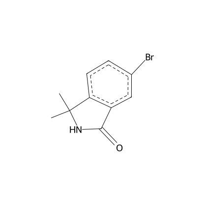 CC1(C)NC(=O)c2cc(Br)ccc21